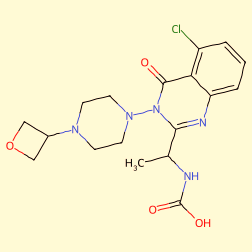 CC(NC(=O)O)c1nc2cccc(Cl)c2c(=O)n1N1CCN(C2COC2)CC1